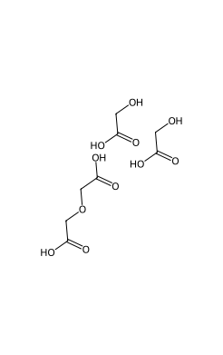 O=C(O)CO.O=C(O)CO.O=C(O)COCC(=O)O